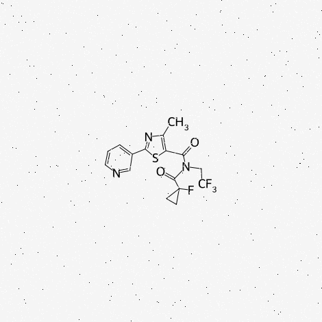 Cc1nc(-c2cccnc2)sc1C(=O)N(CC(F)(F)F)C(=O)C1(F)CC1